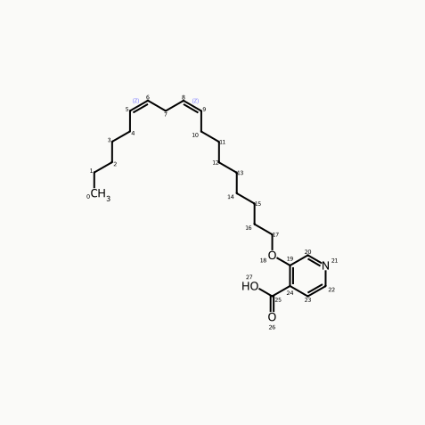 CCCCC/C=C\C/C=C\CCCCCCCCOc1cnccc1C(=O)O